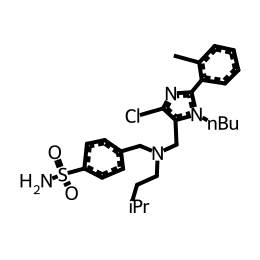 CCCCn1c(-c2ccccc2C)nc(Cl)c1CN(CCC(C)C)Cc1ccc(S(N)(=O)=O)cc1